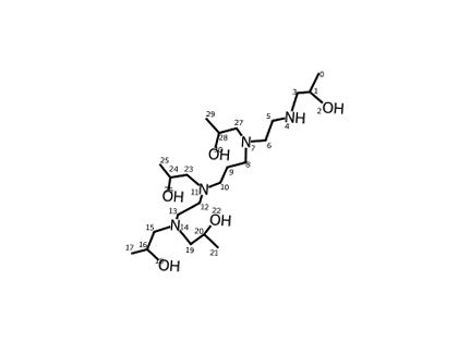 CC(O)CNCCN(CCCN(CCN(CC(C)O)CC(C)O)CC(C)O)CC(C)O